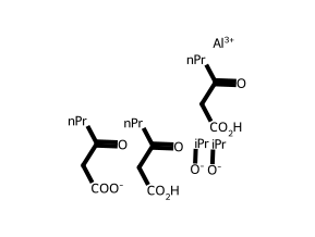 CC(C)[O-].CC(C)[O-].CCCC(=O)CC(=O)O.CCCC(=O)CC(=O)O.CCCC(=O)CC(=O)[O-].[Al+3]